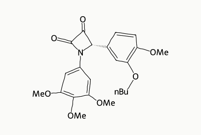 CCCCOc1cc([C@H]2C(=O)C(=O)N2c2cc(OC)c(OC)c(OC)c2)ccc1OC